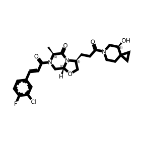 C[C@H]1C(=O)N2[C@@H](CCC(=O)N3CCC4(CC4)[C@H](O)C3)CO[C@@H]2CN1C(=O)C=Cc1ccc(F)c(Cl)c1